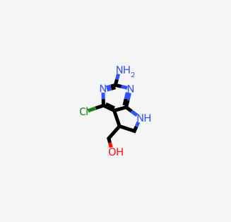 Nc1nc(Cl)c2c(n1)NCC2CO